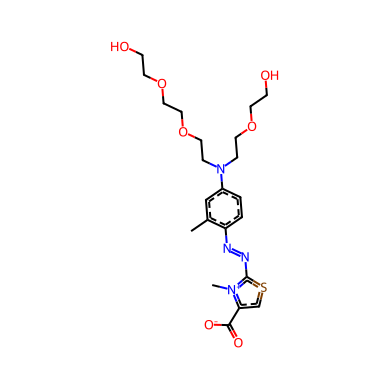 Cc1cc(N(CCOCCO)CCOCCOCCO)ccc1/N=N/c1scc(C(=O)[O-])[n+]1C